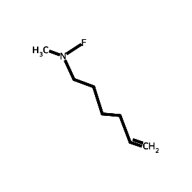 C=CCCCCN(C)F